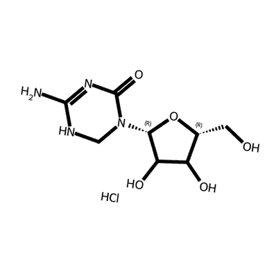 Cl.NC1=NC(=O)N([C@@H]2O[C@H](CO)C(O)C2O)CN1